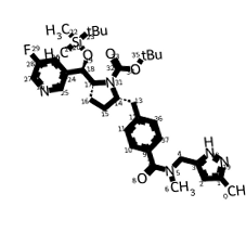 Cc1cc(CN(C)C(=O)c2ccc(C[C@@H]3CC[C@H]([C@H](O[Si](C)(C)C(C)(C)C)c4cncc(F)c4)N3C(=O)OC(C)(C)C)cc2)[nH]n1